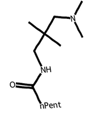 CCCCCC(=O)NCC(C)(C)CN(C)C